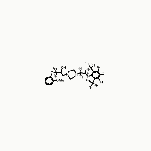 [2H]c1c([2H])c(C([2H])([2H])[2H])c(NC(=O)C([2H])([2H])N2CCN(CC(O)C([2H])([2H])Oc3ccccc3OC)CC2)c(C([2H])([2H])[2H])c1[2H]